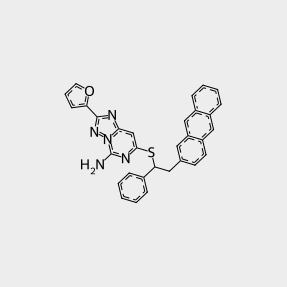 Nc1nc(SC(Cc2ccc3cc4ccccc4cc3c2)c2ccccc2)cc2nc(-c3ccco3)nn12